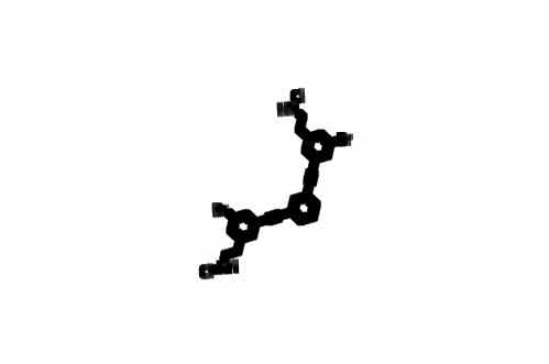 ClNCCc1cc(Br)cc(C#Cc2cccc(C#Cc3cc(Br)cc(CCNCl)c3)c2)c1